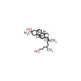 CC(CCCO)CC[C@@H](C)[C@H]1CC[C@H]2[C@@H]3CC=C4C[C@@](C)(O)CC[C@]4(C)[C@H]3CC[C@]12C